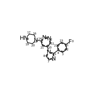 Fc1ccc(-c2nccn2-c2cnnc(N3CCNCC3)c2)cc1